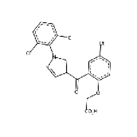 CCc1ccc(OCC(=O)O)c(C(=O)C2C=NN(c3c(Cl)cccc3Cl)C2)c1